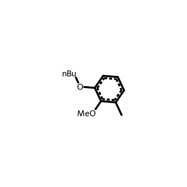 [CH2]CCCOc1cccc(C)c1OC